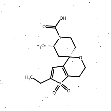 CCC1=CC2=C(CCO[C@@]23CCN(C(=O)O)[C@@H](C)C3)S1(=O)=O